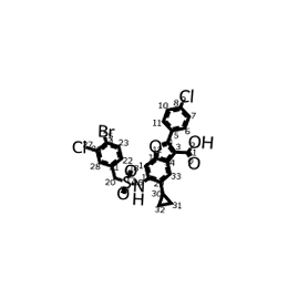 O=C(O)c1c(-c2ccc(Cl)cc2)oc2cc(NS(=O)(=O)Cc3ccc(Br)c(Cl)c3)c(C3CC3)cc12